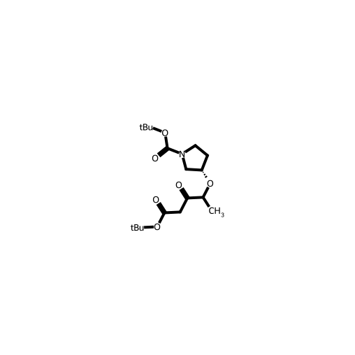 CC(O[C@H]1CCN(C(=O)OC(C)(C)C)C1)C(=O)CC(=O)OC(C)(C)C